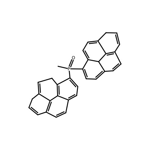 CP(=O)(C1=CC=C2C=CC3=C4C(=CC=C1C24)CC=C3)c1ccc2ccc3c4c2c1CC=C4CC=C3